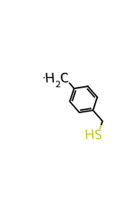 [CH2]c1ccc(CS)cc1